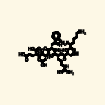 N=C(N)NCCC[C@H](NC(=O)[C@H](CO)NC(=O)[C@@H](N)CCCCN)C(=O)N[C@@H](Cc1c[nH]c2ccccc12)C(=O)N[C@@H](CC(=O)O)C(=O)N[C@@H](CCC(=O)O)C(=O)O